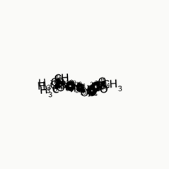 CC1(C)OB(c2ccc(N3CCC(Oc4ccc5c(c4)CCN(S(C)(=O)=O)C5)C3)cc2)OC1(C)C